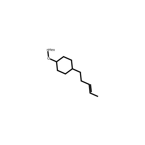 C/C=C/CCC1CCC(OCCCCCC)CC1